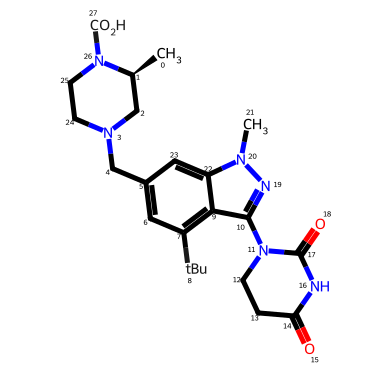 C[C@H]1CN(Cc2cc(C(C)(C)C)c3c(N4CCC(=O)NC4=O)nn(C)c3c2)CCN1C(=O)O